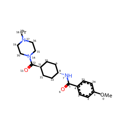 COc1ccc(C(=O)N[C@H]2CC[C@H](C(=O)N3CCN(C(C)C)CC3)CC2)cc1